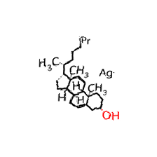 CC(C)CCC[C@@H](C)[C@H]1CC[C@H]2[C@@H]3CC=C4C[C@@H](O)CC[C@]4(C)[C@H]3CC[C@]12C.[Ag]